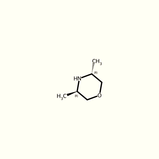 C[C@@H]1COC[C@@H](C)N1